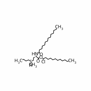 CCCCCCCCCCCCCC(=O)N[C@H](CC[SH](C)CCCC)C(=O)OC(Cl)CCCCCCCCCCC